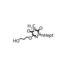 CCCCCCCn1nc(OCCCO)c(=O)n(C)c1=O